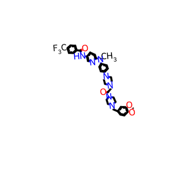 CN(c1ccc(N2CCN(CC(=O)N3CCN(Cc4ccc5c(c4)OCO5)CC3)CC2)cc1)c1ccc(NC(=O)c2ccc(C(F)(F)F)cc2)cn1